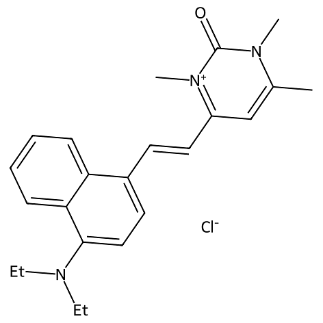 CCN(CC)c1ccc(C=Cc2cc(C)n(C)c(=O)[n+]2C)c2ccccc12.[Cl-]